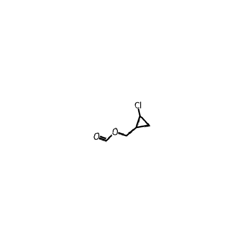 O=COCC1CC1Cl